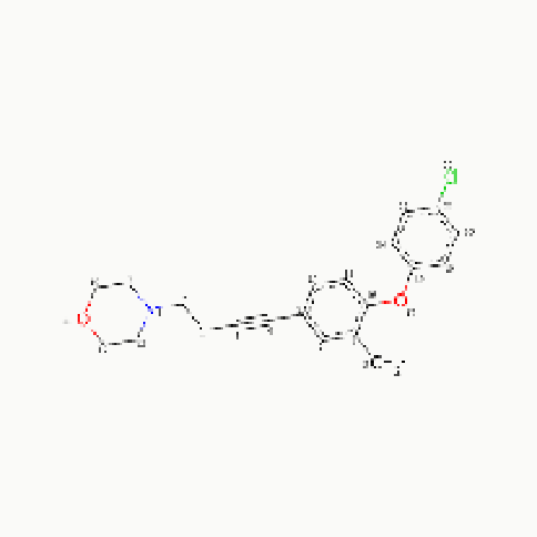 [CH2]c1cc(C#CCCN2CCOCC2)ccc1Oc1ccc(Cl)cc1